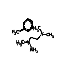 CN(C)CCN(C)N.FC(F)(F)c1ccccc1